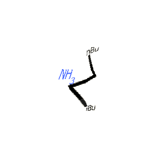 CCCCCCC(C)CC.N